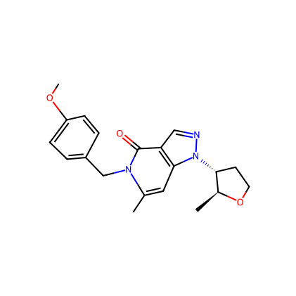 COc1ccc(Cn2c(C)cc3c(cnn3[C@@H]3CCO[C@H]3C)c2=O)cc1